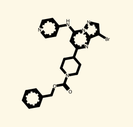 O=C(OCc1ccccc1)N1CCC(c2cc(Nc3ccncc3)n3ncc(Br)c3n2)CC1